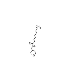 CCC=CCCC=CC(=O)NCC1CCOCC1